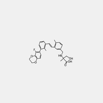 Cc1ccc(CNC(C)(CO)C(=O)O)cc1C=Cc1cccc(-c2ccc3c(c2F)OCCO3)c1C